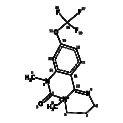 CN1C(=O)[N+]2(C)CCCN=C2c2ccc(OC(F)(F)F)cc21